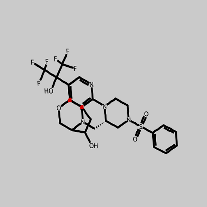 O=S(=O)(c1ccccc1)N1CCN(c2ncc(C(O)(C(F)(F)F)C(F)(F)F)cn2)[C@@H](CN2C3COCC2C(O)C3)C1